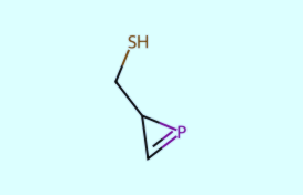 SCC1C=P1